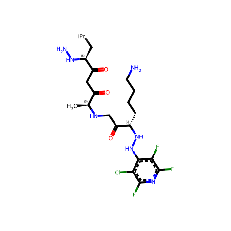 CC(C)C[C@H](NN)C(=O)CC(=O)[C@H](C)NCC(=O)[C@H](CCCCN)NNc1c(F)c(F)nc(F)c1Cl